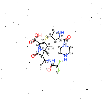 CC(NC(=O)C(F)F)[C@H]1C(=O)N2C(C(=O)O)=C(S[C@@H]3CN[C@H](C(=O)N4CCNCC4)C3)[C@H](C)[C@H]12